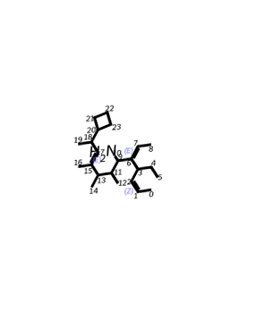 C/C=C\C(CC)/C(=C\C)C(N)C(C)C(C)/C(C)=C/C(C)C1CCC1